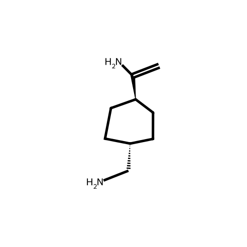 C=C(N)[C@H]1CC[C@H](CN)CC1